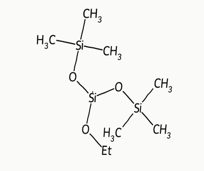 CCO[Si](O[Si](C)(C)C)O[Si](C)(C)C